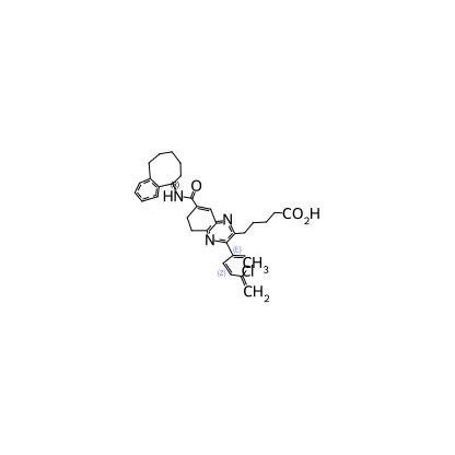 C=C(Cl)/C=C\C(=C/C)c1nc2c(nc1CCCCC(=O)O)C=C(C(=O)N[C@@H]1CCCCCc3ccccc31)CC2